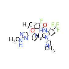 CNc1nccc(-c2cccnc2Oc2cc(C(=O)Nc3cc(C(F)(F)F)ccc3N(C)C3CCN(C)C3)c(F)cc2C)n1